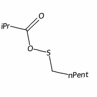 CCCCCCSOC(=O)C(C)C